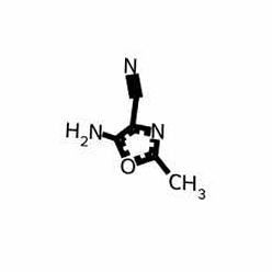 Cc1nc(C#N)c(N)o1